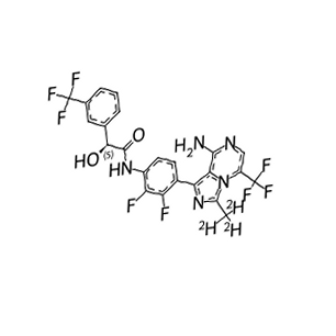 [2H]C([2H])([2H])c1nc(-c2ccc(NC(=O)[C@@H](O)c3cccc(C(F)(F)F)c3)c(F)c2F)c2c(N)ncc(C(F)(F)F)n12